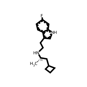 C[C@@H](CC1CCC1)NCCc1c[nH]c2cc(F)ccc12